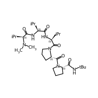 CC(C)[C@H](NC(=O)[C@H](C(C)C)N(C)C)C(=O)N[C@H](C(=O)N1CCC[C@H]1C(=O)N1CCC[C@H]1C(=O)NC(C)(C)C)C(C)C